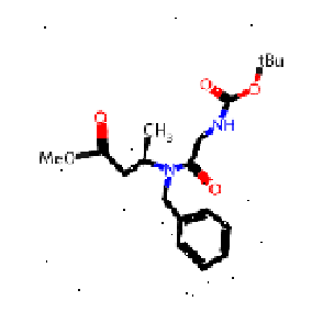 COC(=O)C[C@@H](C)N(Cc1ccccc1)C(=O)CNC(=O)OC(C)(C)C